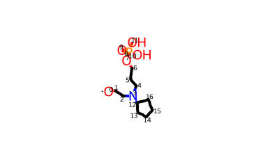 [O]CCN(CCCOP(=O)(O)O)C1CCCC1